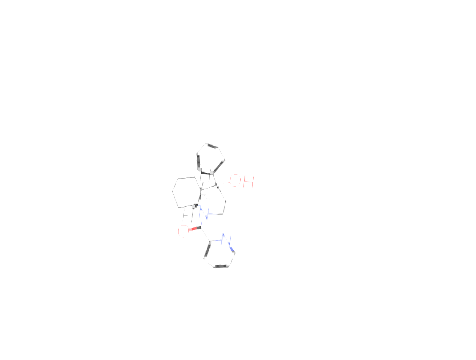 O=C(c1ccccn1)N1CC[C@](O)(c2ccccc2)[C@H]2CCCC[C@H]21